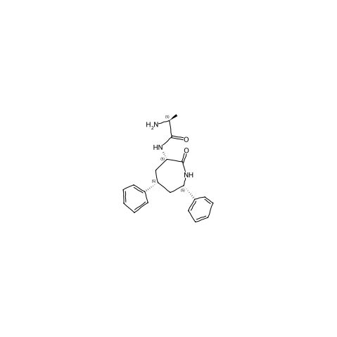 C[C@H](N)C(=O)N[C@H]1C[C@@H](c2ccccc2)C[C@@H](c2ccccc2)NC1=O